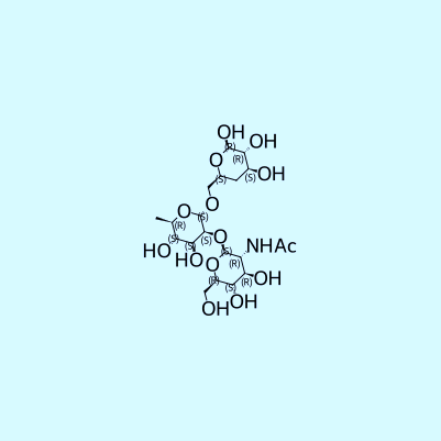 CC(=O)N[C@H]1[C@H](O[C@@H]2[C@@H](OC[C@@H]3C[C@H](O)[C@@H](O)[C@H](O)O3)O[C@H](C)[C@@H](O)[C@@H]2O)O[C@H](CO)[C@@H](O)[C@@H]1O